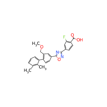 COCc1cc(-c2nc(-c3ccc(C(=O)O)c(F)c3)no2)ccc1-c1cccc(C)c1C